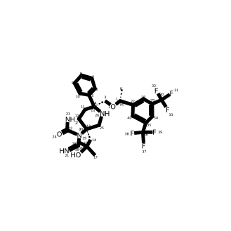 C[C@@H](OC[C@@]1(c2ccccc2)CC[C@](CC(C)(C)O)(N(C=N)C(N)=O)CN1)c1cc(C(F)(F)F)cc(C(F)(F)F)c1